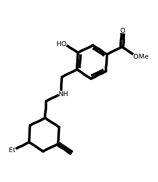 C=C1CC(CC)CC(CNCc2ccc(C(=O)OC)cc2O)C1